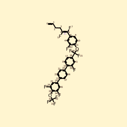 C=CCC/C(F)=C(\F)c1ccc(OC(F)(F)c2ccc(-c3ccc(-c4cc(F)c(OC(F)(F)F)c(F)c4)cc3)c(F)c2)c(F)c1